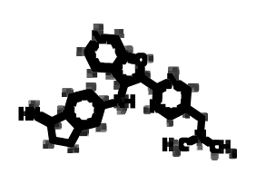 CN(C)Cc1cnc(-c2oc3cnccc3c2Nc2ccc3c(c2)CCC3=N)nc1